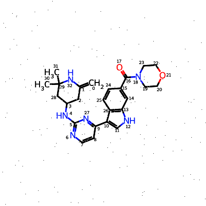 C=C1CC(Nc2nccc(-c3c[nH]c4cc(C(=O)N5CCOCC5)ccc34)n2)CC(C)(C)N1